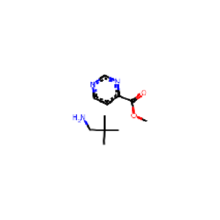 CC(C)(C)CN.COC(=O)c1ccncn1